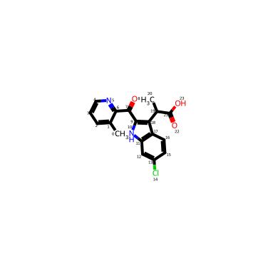 Cc1cccnc1C(=O)c1[nH]c2cc(Cl)ccc2c1C(C)C(=O)O